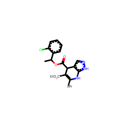 CCCC1=C(C(=O)OCC)C(C(=O)OC(C)c2ccccc2Cl)c2cn[nH]c2N1